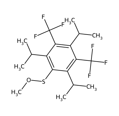 COSc1c(C(C)C)c(C(F)(F)F)c(C(C)C)c(C(F)(F)F)c1C(C)C